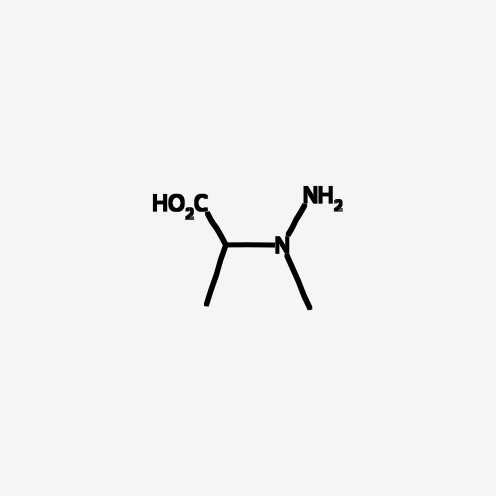 CC(C(=O)O)N(C)N